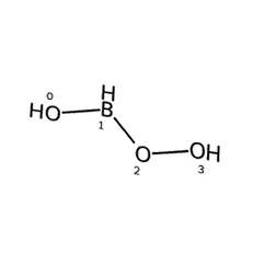 OBOO